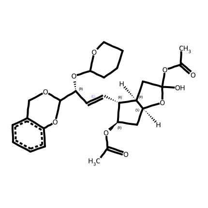 CC(=O)O[C@@H]1C[C@@H]2OC(O)(OC(C)=O)C[C@@H]2[C@H]1/C=C/[C@@H](OC1CCCCO1)C1OCc2ccccc2O1